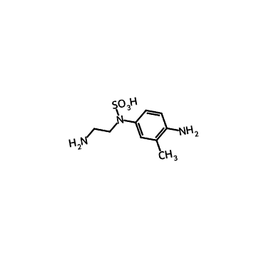 Cc1cc(N(CCN)S(=O)(=O)O)ccc1N